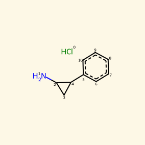 Cl.NC1CC1c1ccccc1